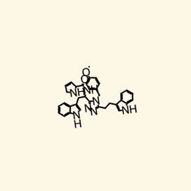 COc1ccc(Cn2c(CCc3c[nH]c4ccccc34)nnc2C(Cc2c[nH]c3ccccc23)NC(=O)C2C=CCN2)cc1